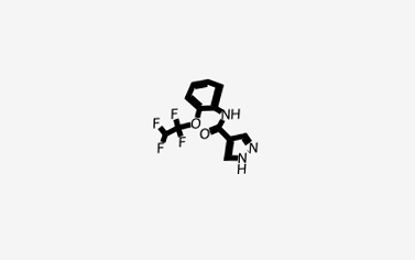 O=C(Nc1ccccc1OC(F)(F)C(F)F)c1cn[nH]c1